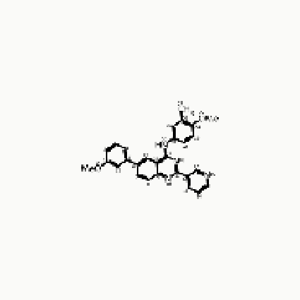 COc1cccc(-c2ccc3nc(-c4cccnc4)nc(Nc4ccc(OC)c(C)c4)c3c2)c1